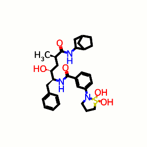 C[C@H](C[C@@H](O)[C@H](Cc1ccccc1)NC(=O)c1cccc(N2CCCS2(O)O)c1)C(=O)NC1CC2CCC1C2